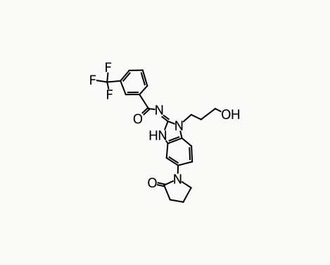 O=C(/N=c1\[nH]c2cc(N3CCCC3=O)ccc2n1CCCO)c1cccc(C(F)(F)F)c1